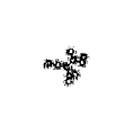 c1ccc(-c2cc(-c3nc(-c4ccc(-c5cccnc5)cc4)cc(-c4cc5cccnc5c5ncccc45)n3)cc(-c3cccc4ccccc34)c2)cc1